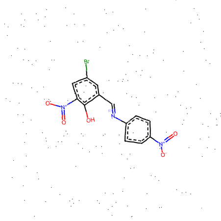 O=[N+]([O-])c1ccc(/N=C/c2cc(Br)cc([N+](=O)[O-])c2O)cc1